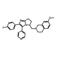 COc1ccc2c(c1)CN(CC1CCc3nc(-c4ccc(F)cc4)c(-c4ccncc4)n31)CC2